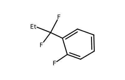 CCC(F)(F)c1ccccc1F